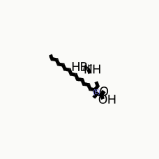 Br.CCCCCCCCCCCCCC/C(CC)=C(\C)C(=O)O.CNC